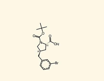 CC(C)(C)OC(=O)N1C[C@H](Cc2cccc(Br)c2)C[C@H]1C(=O)O